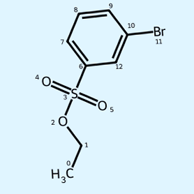 CCOS(=O)(=O)c1cccc(Br)c1